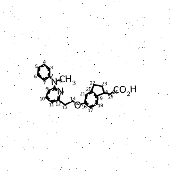 CN(c1ccccc1)c1cccc(CCOc2ccc3c(c2)CCC3CC(=O)O)n1